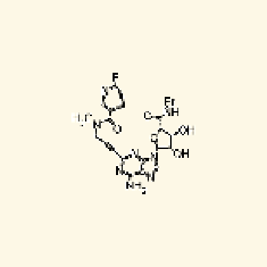 CCNC(=O)[C@H]1O[C@@H](n2cnc3c(N)nc(C#CCN(C)C(=O)c4ccc(F)nc4)nc32)C(O)[C@@H]1O